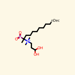 CCCCCCCCCCCCCCCCCCC(C)(P(=O)=O)[N+](C)(C)CCC(O)O